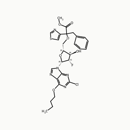 CCCCOc1nc(Cl)nc2c1ncn2[C@@H]1O[C@H](COC(Cc2ccccc2)(C(=O)OC)c2cscn2)[C@@H](O)[C@@H]1F